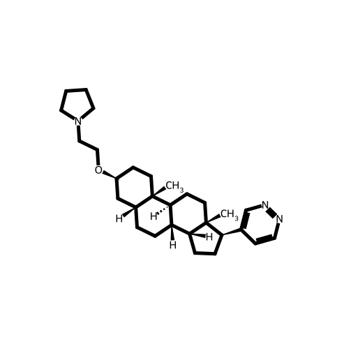 C[C@]12CC[C@H](OCCN3CCCC3)C[C@H]1CC[C@H]1[C@H]3CC[C@H](c4ccnnc4)[C@@]3(C)CC[C@@H]12